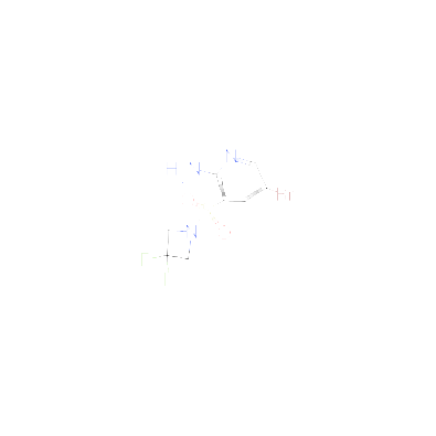 Nc1ncc(Br)cc1S(=O)(=O)N1CC(F)(F)C1